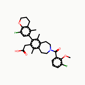 COc1c(F)cccc1C(=O)N1CCc2c(C)c(CC(=O)O)c(-c3cc(F)c4c(c3C)CCCO4)c(C)c2CC1